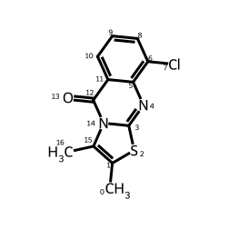 Cc1sc2nc3c(Cl)cccc3c(=O)n2c1C